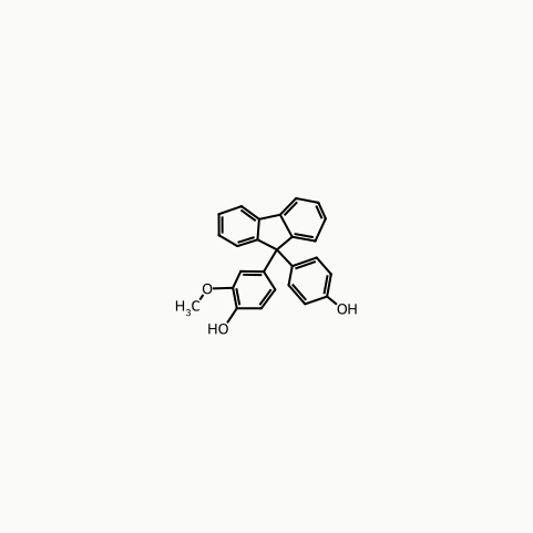 COc1cc(C2(c3ccc(O)cc3)c3ccccc3-c3ccccc32)ccc1O